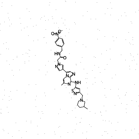 Cc1cn2c(-c3cnn(CC(=O)NCc4ccc([N+](=O)[O-])cc4)c3)cnc2c(Nc2cc(CN3CCCC(C)C3)ns2)n1